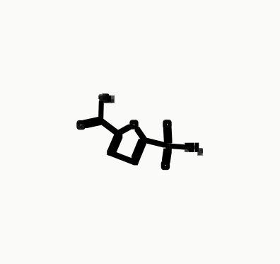 CC(C)(C)C(=O)c1ccc(S(N)(=O)=O)o1